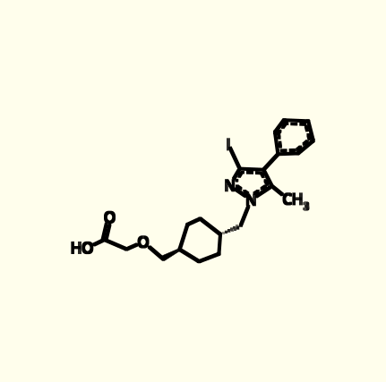 Cc1c(-c2ccccc2)c(I)nn1C[C@H]1CC[C@H](COCC(=O)O)CC1